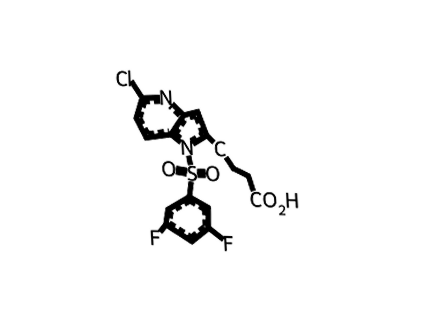 O=C(O)CCCc1cc2nc(Cl)ccc2n1S(=O)(=O)c1cc(F)cc(F)c1